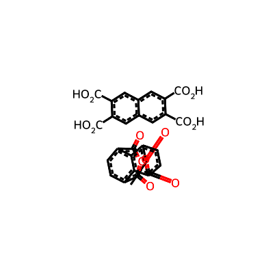 O=C(O)c1cc2cc(C(=O)O)c(C(=O)O)cc2cc1C(=O)O.O=c1oc(=O)c2ccc1c1c3ccc(c(=O)oc3=O)c21